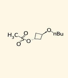 CCCCO[C@H]1C[C@H](OS(C)(=O)=O)C1